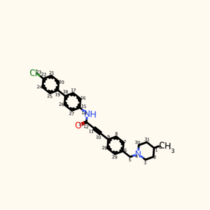 CC1CCN(Cc2ccc(C#CC(=O)Nc3ccc(-c4ccc(Cl)cc4)cc3)cc2)CC1